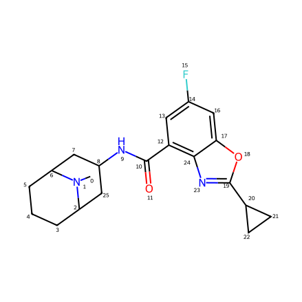 CN1C2CCCC1CC(NC(=O)c1cc(F)cc3oc(C4CC4)nc13)C2